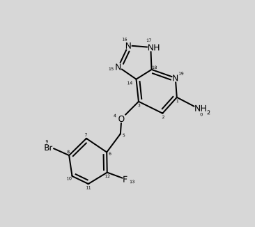 Nc1cc(OCc2cc(Br)ccc2F)c2nn[nH]c2n1